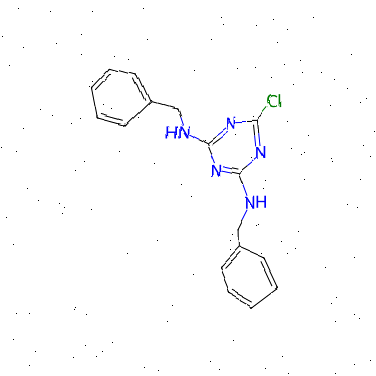 Clc1nc(NCc2ccccc2)nc(NCc2ccccc2)n1